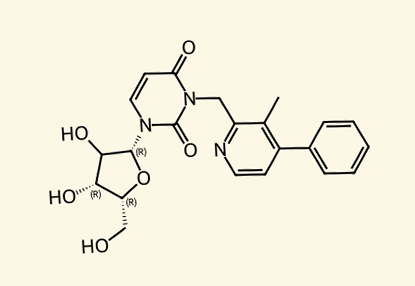 Cc1c(-c2ccccc2)ccnc1Cn1c(=O)ccn([C@@H]2O[C@H](CO)[C@H](O)C2O)c1=O